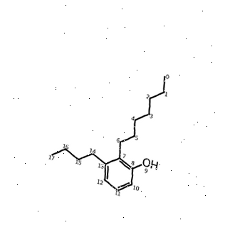 CCCCCCCc1c(O)cccc1CCCC